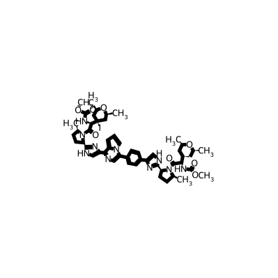 COC(=O)N[C@H](C(=O)N1[C@@H](C)CC[C@H]1c1nc(-c2ccc(-c3cnc(-c4c[nH]c([C@@H]5CC[C@H](C)N5C(=O)[C@@H](NC(=O)OC)[C@@]5(I)C[C@@H](C)O[C@@H](C)C5)n4)c4cccn34)cc2)c[nH]1)[C@H]1C[C@@H](C)O[C@@H](C)C1